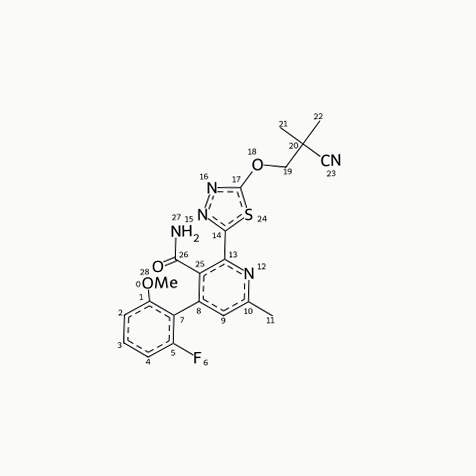 COc1cccc(F)c1-c1cc(C)nc(-c2nnc(OCC(C)(C)C#N)s2)c1C(N)=O